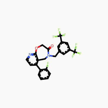 O=C1COc2nccc(-c3ccccc3F)c2CN1Cc1cc(C(F)(F)F)cc(C(F)(F)F)c1